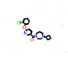 O=C(c1ccc(Oc2ccccc2Cl)nc1)N1CCCN(C2CCC2)CC1